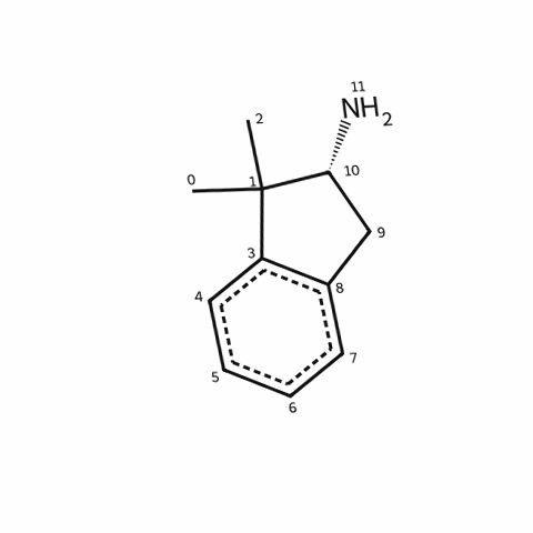 CC1(C)c2ccccc2C[C@H]1N